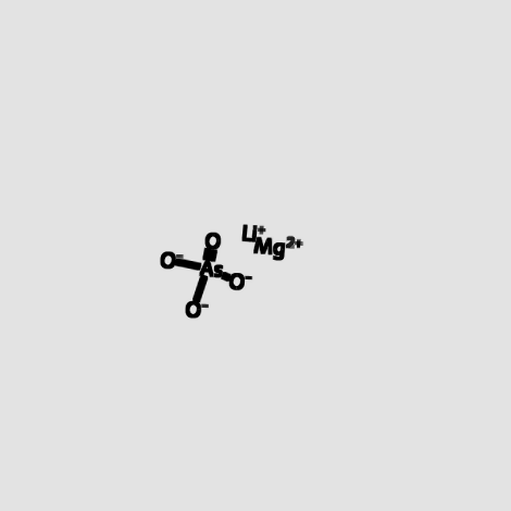 O=[As]([O-])([O-])[O-].[Li+].[Mg+2]